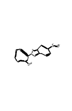 CC(C)Sc1ccc2nn(-c3ccccc3O)nc2c1